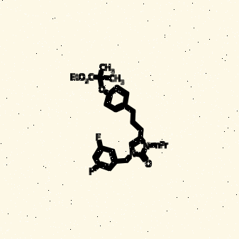 CCCn1c(CCCc2ccc(OC(C)(C)C(=O)OCC)cc2)cn(Cc2cc(F)cc(F)c2)c1=O